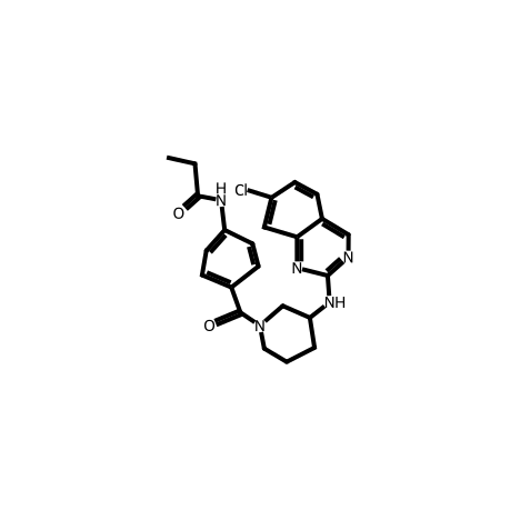 CCC(=O)Nc1ccc(C(=O)N2CCCC(Nc3ncc4ccc(Cl)cc4n3)C2)cc1